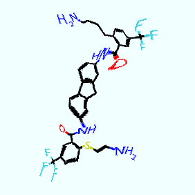 NCCCc1ccc(C(F)(F)F)cc1C(=O)Nc1ccc2c(c1)Cc1cc(NC(=O)c3cc(C(F)(F)F)ccc3SCCN)ccc1-2